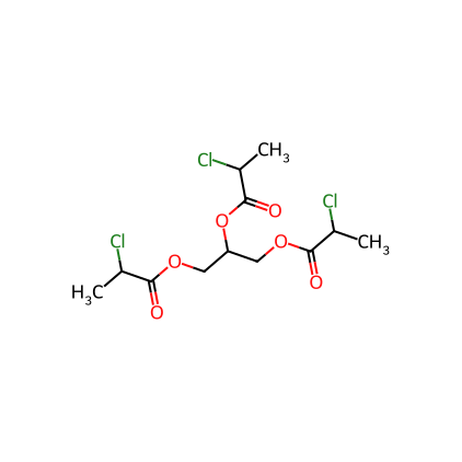 CC(Cl)C(=O)OCC(COC(=O)C(C)Cl)OC(=O)C(C)Cl